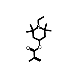 C=C(C)C(=O)OC1CC(C)(C)N(CC)C(C)(C)C1